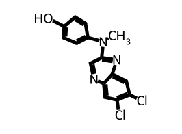 CN(c1ccc(O)cc1)c1cnc2cc(Cl)c(Cl)cc2n1